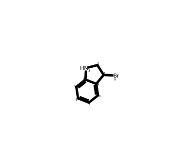 BrC1CNc2ccccc21